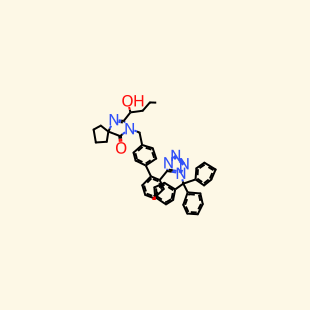 CCCC(O)C1=NC2(CCCC2)C(=O)N1Cc1ccc(-c2ccccc2-c2nnnn2C(c2ccccc2)(c2ccccc2)c2ccccc2)cc1